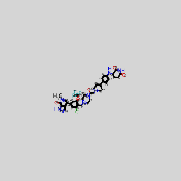 Cn1cc(-c2cc(Cl)c(CN3CCN(C(=O)CN4CCC(c5ccc(NC6CCC(=O)NC6=O)cc5)CC4)CC3)c(OC(F)(F)F)c2)c2cn[nH]c2c1=O